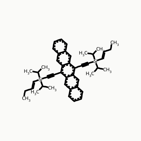 CCC=C[Si](C#Cc1c2cc3ccccc3cc2c(C#C[Si](C=CCC)(C(C)C)C(C)C)c2cc3ccccc3cc12)(C(C)C)C(C)C